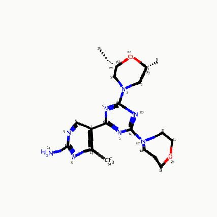 C[C@@H]1CN(c2nc(-c3cnc(N)nc3C(F)(F)F)nc(N3CCOCC3)n2)C[C@H](C)O1